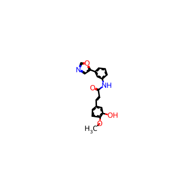 COc1ccc(C=CC(=O)Nc2cccc(-c3cnco3)c2)cc1O